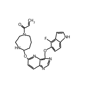 C=CC(=O)N1CCCC(Oc2ccc3ncnc(Oc4ccc5[nH]ccc5c4F)c3n2)NCC1